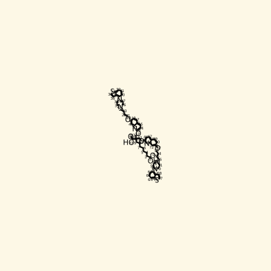 O=C(O)CCCCCCCC(COc1ccc2ccc(OCCCCN3CCN(c4cccc5sccc45)CC3)cc2n1)(COc1ccc2ccc(OCCCCN3CCN(c4cccc5sccc45)CC3)cc2n1)C(=O)O